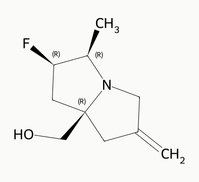 C=C1CN2[C@H](C)[C@H](F)C[C@@]2(CO)C1